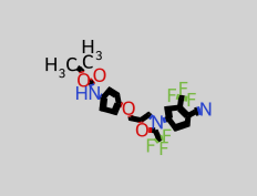 CC(C)OC(=O)Nc1ccc(OCC2CN(c3ccc(C#N)c(C(F)(F)F)c3)C(C(F)(F)F)O2)cc1